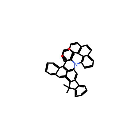 CC1(C)c2ccccc2-c2cc(N(c3ccccc3-c3cccc4ccccc34)c3cccc4ccc5ccc6ccccc6c5c34)ccc21